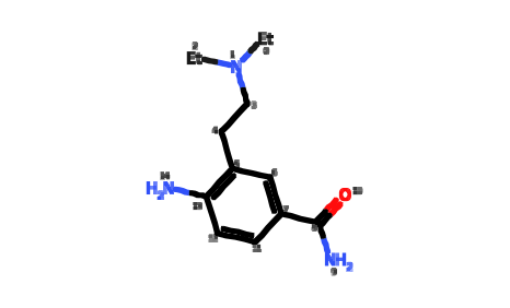 CCN(CC)CCc1cc(C(N)=O)ccc1N